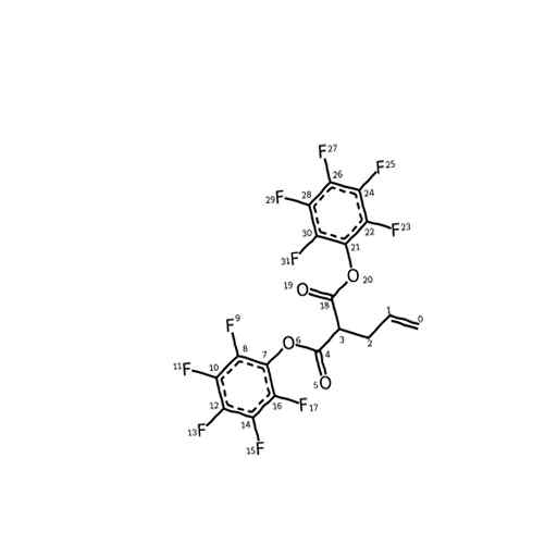 C=CCC(C(=O)Oc1c(F)c(F)c(F)c(F)c1F)C(=O)Oc1c(F)c(F)c(F)c(F)c1F